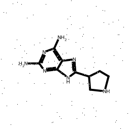 Nc1nc(N)c2nc(C3CCNC3)[nH]c2n1